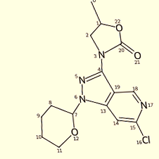 CC1CN(c2nn(C3CCCCO3)c3cc(Cl)ncc23)C(=O)O1